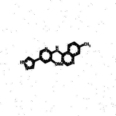 COc1cc(-c2cn[nH]c2)cnc1Nc1ccnc2cc(C)ccc12